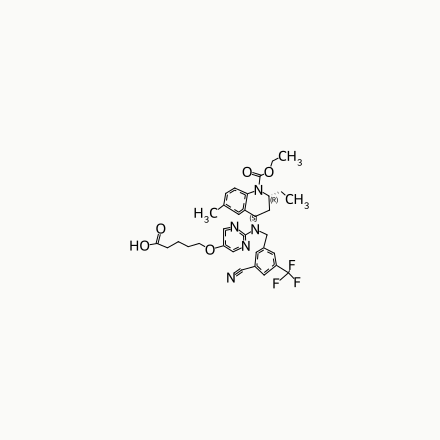 CCOC(=O)N1c2ccc(C)cc2[C@@H](N(Cc2cc(C#N)cc(C(F)(F)F)c2)c2ncc(OCCCCC(=O)O)cn2)C[C@H]1CC